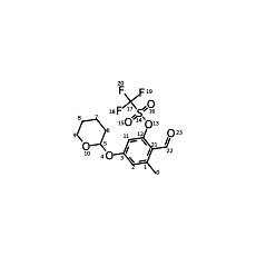 Cc1cc(OC2CCCCO2)cc(OS(=O)(=O)C(F)(F)F)c1C=O